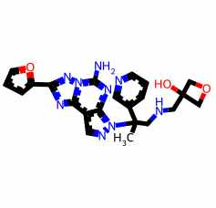 CC(CNCC1(O)COC1)(c1cccnc1)n1ncc2c1nc(N)n1nc(-c3ccco3)nc21